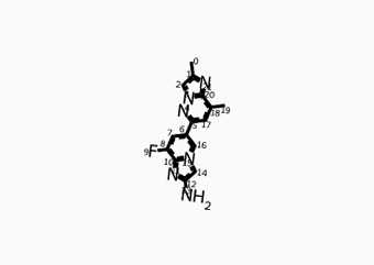 Cc1cn2nc(-c3cc(F)c4nc(N)cn4c3)cc(C)c2n1